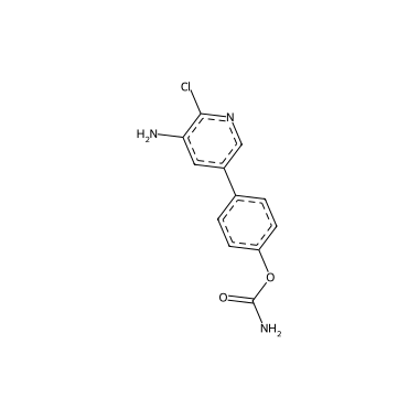 NC(=O)Oc1ccc(-c2cnc(Cl)c(N)c2)cc1